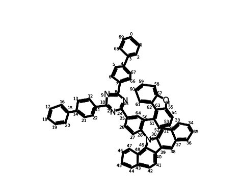 c1ccc(-c2ccc(-c3nc(-c4ccc(-c5ccccc5)cc4)nc(-c4ccc(-n5c6cc7ccccc7cc6c6ccc7ccccc7c65)c(-c5cccc6oc7ccccc7c56)c4)n3)cc2)cc1